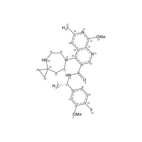 COc1cc([C@H](C)NC(=O)c2cnc3c(OC)nc(C)cc3c2N2CCNC3(CC2)CC3)ccc1F